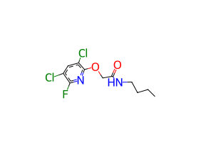 CCCCNC(=O)COc1nc(F)c(Cl)cc1Cl